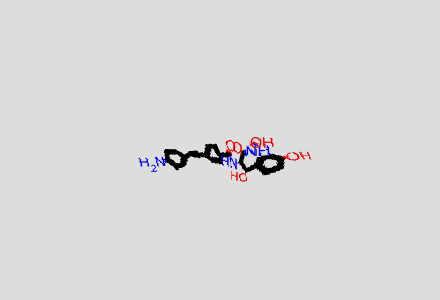 Nc1ccc(C#Cc2ccc(C(=O)N[C@H](C(=O)NO)[C@@H](O)c3ccc(O)cc3)cc2)cc1